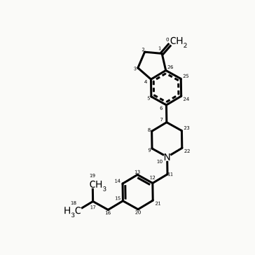 C=C1CCc2cc(C3CCN(CC4=CC=C(CC(C)C)CC4)CC3)ccc21